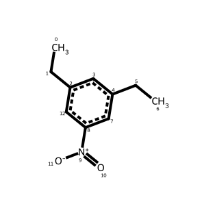 CCc1[c]c(CC)cc([N+](=O)[O-])c1